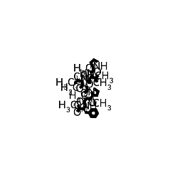 CC[C@H](C)[C@@H]([C@@H](CC(=O)N1CCCC1[C@H](OC)[C@@H](C)C(=O)N[C@@H](Cc1ccccc1)C(=O)OC)OC)N(C)C(=O)[C@@H](NC(=O)[C@]1(C)CCCN1)C(C)C